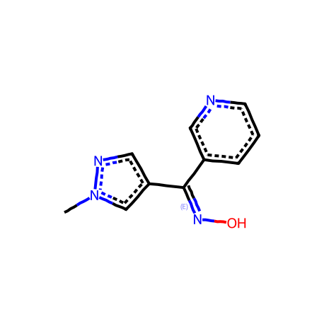 Cn1cc(/C(=N/O)c2cccnc2)cn1